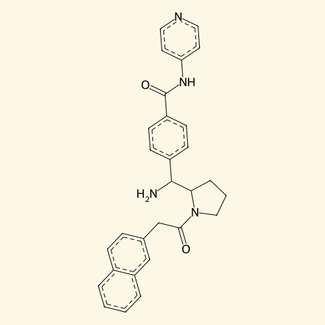 NC(c1ccc(C(=O)Nc2ccncc2)cc1)C1CCCN1C(=O)Cc1ccc2ccccc2c1